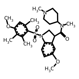 COc1ccc2c(c1)C(C(=O)N(C)C1CCN(C)CC1)CN2S(=O)(=O)c1c(C)cc(OC)c(C)c1C